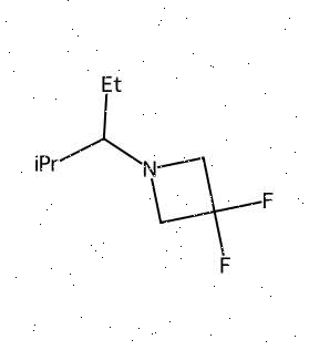 CCC(C(C)C)N1CC(F)(F)C1